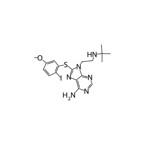 COc1ccc(I)c(Sc2nc3c(N)ncnc3n2CCNC(C)(C)C)c1